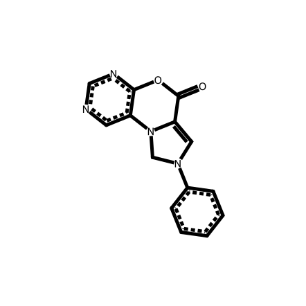 O=C1Oc2ncncc2N2CN(c3ccccc3)C=C12